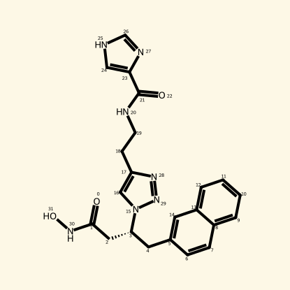 O=C(C[C@@H](Cc1ccc2ccccc2c1)n1cc(CCNC(=O)c2c[nH]cn2)nn1)NO